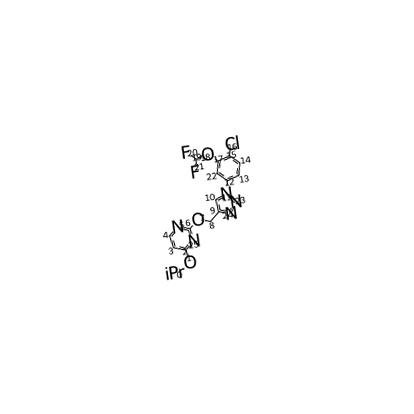 CC(C)Oc1ccnc(OCc2cn(-c3ccc(Cl)c(OC(F)F)c3)nn2)n1